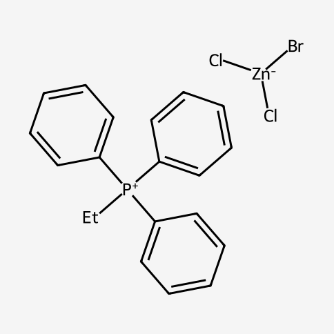 CC[P+](c1ccccc1)(c1ccccc1)c1ccccc1.[Cl][Zn-]([Cl])[Br]